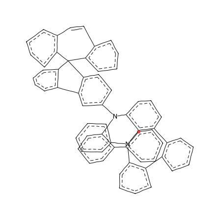 C1=Cc2ccccc2C2(c3ccccc31)c1ccccc1-c1cc(N(c3ccccc3-c3ccccc3)c3cccc4c3N(c3ccccc3)c3ccccc3-c3ccccc3-4)ccc12